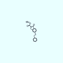 CC(C)(C)OC(=O)N1Cc2cc(SCc3ccccc3)ccc2C1=O